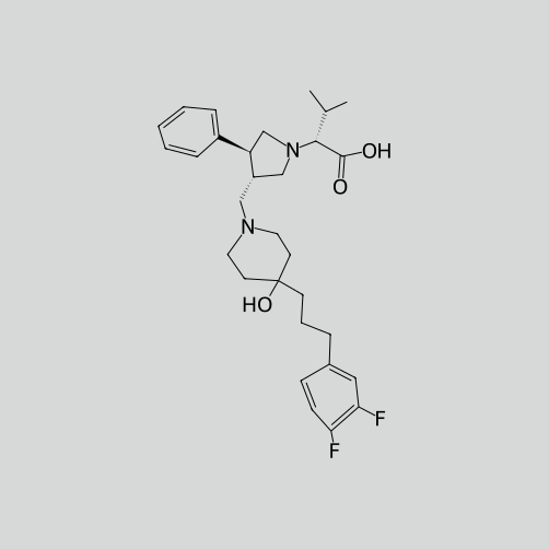 CC(C)[C@H](C(=O)O)N1C[C@H](CN2CCC(O)(CCCc3ccc(F)c(F)c3)CC2)[C@@H](c2ccccc2)C1